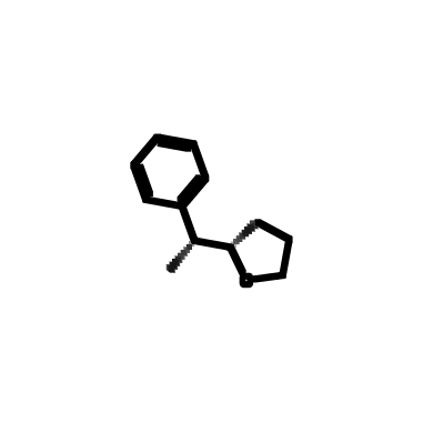 C[C@H](c1ccccc1)[C@@H]1CCCO1